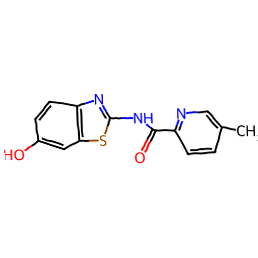 Cc1ccc(C(=O)Nc2nc3ccc(O)cc3s2)nc1